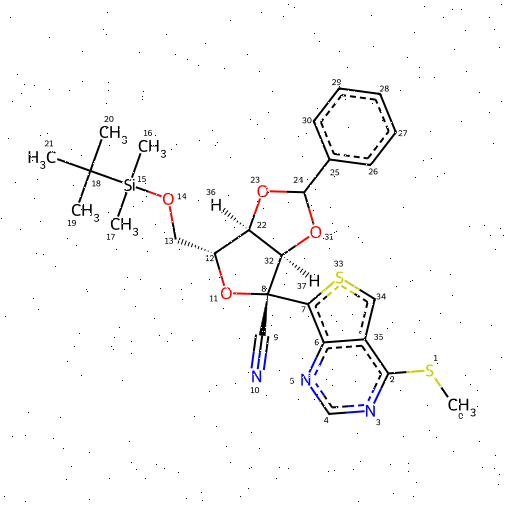 CSc1ncnc2c([C@]3(C#N)O[C@H](CO[Si](C)(C)C(C)(C)C)[C@H]4OC(c5ccccc5)O[C@H]43)scc12